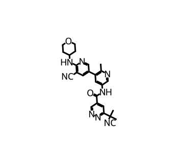 Cc1ncc(NC(=O)c2cnnc(C(C)(C)C#N)c2)cc1-c1cnc(NC2CCOCC2)c(C#N)c1